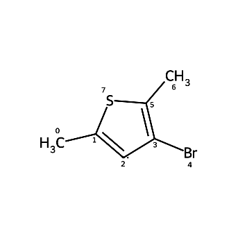 Cc1[c]c(Br)c(C)s1